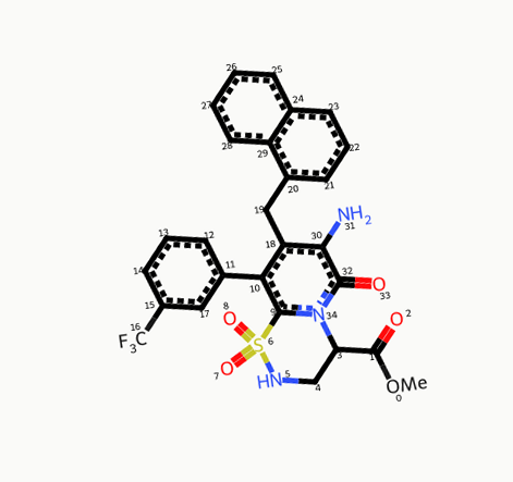 COC(=O)C1CNS(=O)(=O)c2c(-c3cccc(C(F)(F)F)c3)c(Cc3cccc4ccccc34)c(N)c(=O)n21